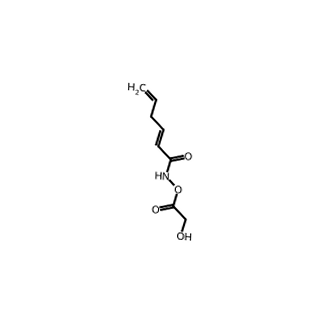 C=CCC=CC(=O)NOC(=O)CO